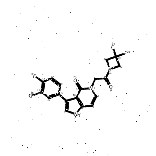 O=C(Cn1ccc2[nH]cc(-c3ccc(F)c(Cl)c3)c2c1=O)N1CC(F)(F)C1